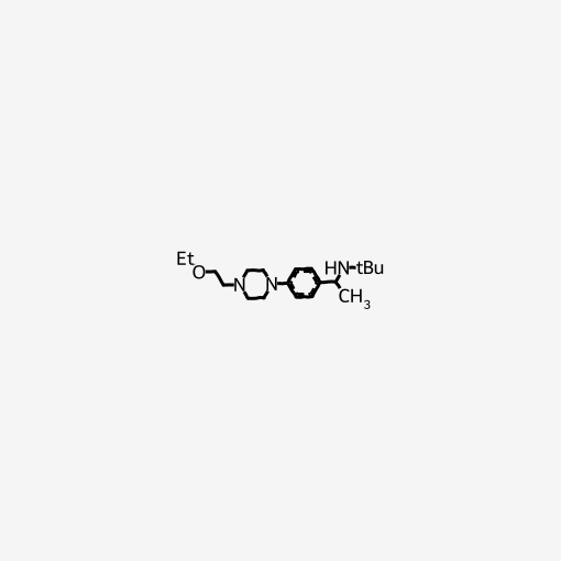 CCOCCN1CCN(c2ccc(C(C)NC(C)(C)C)cc2)CC1